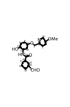 COc1ccc(COc2ccc(O)c(NC(=O)c3cccc(C=O)c3)c2)nc1